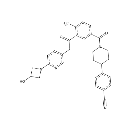 Cc1ccc(C(=O)N2CCC(c3ccc(C#N)cc3)CC2)cc1C(=O)Cc1ccc(N2CC(O)C2)nc1